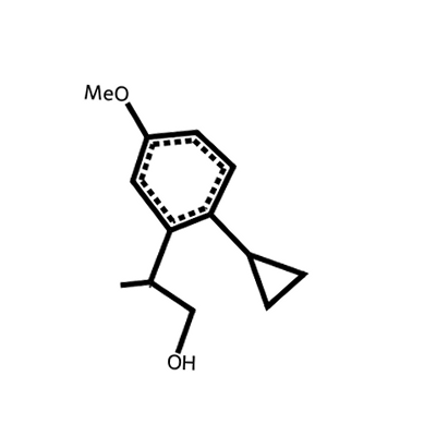 COc1ccc(C2CC2)c([C](C)CO)c1